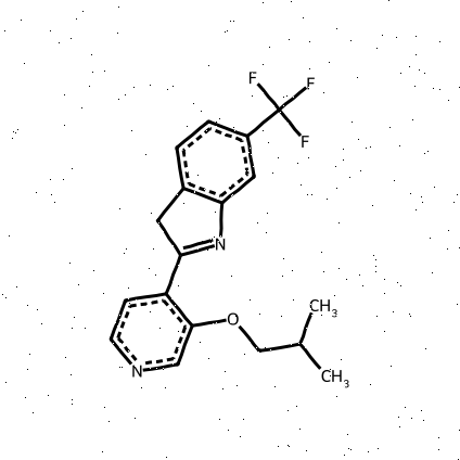 CC(C)COc1cnccc1C1=Nc2cc(C(F)(F)F)ccc2C1